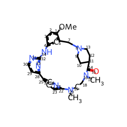 COc1ccc2cc1CN1CCC(CC1)C(=O)N(C)CCN(C)c1ccc(cn1)-c1ccnc(n1)N2